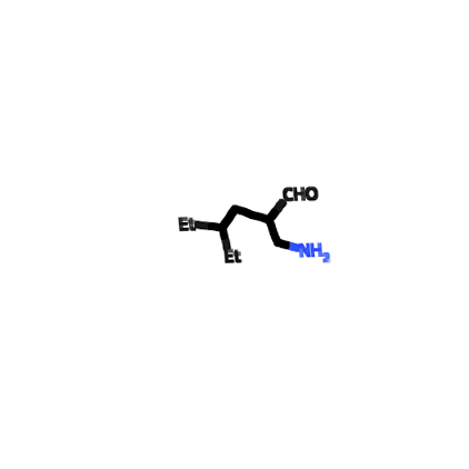 CCC(CC)CC(C=O)CN